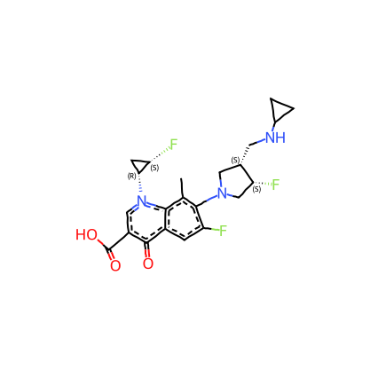 Cc1c(N2C[C@H](CNC3CC3)[C@H](F)C2)c(F)cc2c(=O)c(C(=O)O)cn([C@@H]3C[C@@H]3F)c12